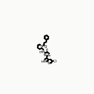 O=C(CCc1ccccc1)N1CCCCC1CNc1nc(-c2c[nH]c3ncc(Cl)cc23)ncc1F